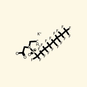 CCN(CC(=O)[O-])S(=O)(=O)C(F)(F)C(F)(F)C(F)(F)C(F)(F)C(F)(F)C(F)(F)C(F)(F)C(F)(F)F.[K+]